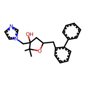 CC1(C)OC(Cc2ccccc2-c2ccccc2)CC1(O)Cn1ccnc1